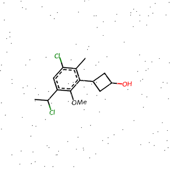 COc1c(C(C)Cl)cc(Cl)c(C)c1C1CC(O)C1